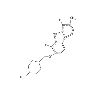 Cc1ccc2c(oc3c(F)c(OCC4CCC(C)CC4)ccc32)c1F